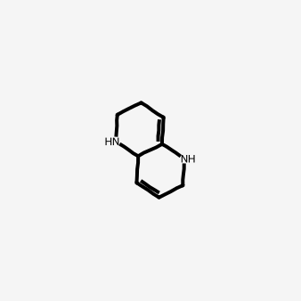 C1=CC2NCCC=C2NC1